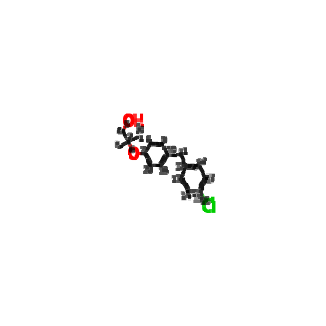 CCC(C)(CO)Oc1ccc(Cc2ccc(Cl)cc2)cc1